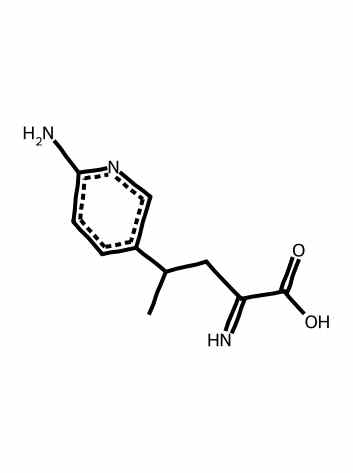 CC(CC(=N)C(=O)O)c1ccc(N)nc1